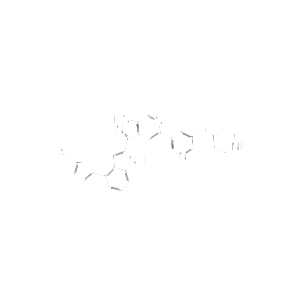 CC(=O)c1ccc(-c2cccc3[nH]c(-c4n[nH]c5cnc(-c6cncc(OC7CCNCC7)c6)cc45)cc23)s1